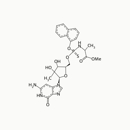 COC(=O)C(C)NP(=S)(OC[C@H]1O[C@@H](n2cnc3c(=O)[nH]c(N)cc32)C(C)(O)C1O)Oc1cccc2ccccc12